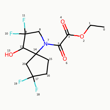 CCOC(=O)C(=O)N1CC(F)(F)C(O)C12CCC(F)(F)C2